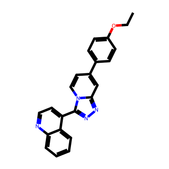 CCOc1ccc(-c2ccn3c(-c4ccnc5ccccc45)nnc3c2)cc1